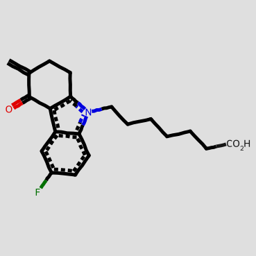 C=C1CCc2c(c3cc(F)ccc3n2CCCCCCC(=O)O)C1=O